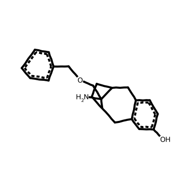 NC1(COCc2ccccc2)C2CCC1Cc1cc(O)ccc1C2